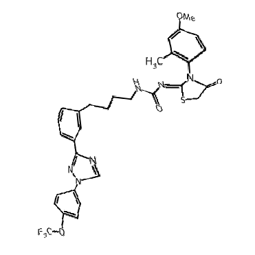 COc1ccc(N2C(=O)CSC2=NC(=O)NCCCCc2cccc(-c3ncn(-c4ccc(OC(F)(F)F)cc4)n3)c2)c(C)c1